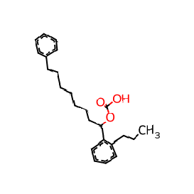 CCCc1ccccc1C(CCCCCCCc1ccccc1)OC(=O)O